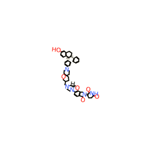 O=C1CC[C@H](N2Cc3c(ccc4c3OC[C@H]3CN(CC5CCC6(CCN(c7ccc([C@@H]8c9ccc(O)cc9CC[C@@H]8c8ccccc8)cc7)CC6)OC5)CCN43)C2=O)C(=O)N1